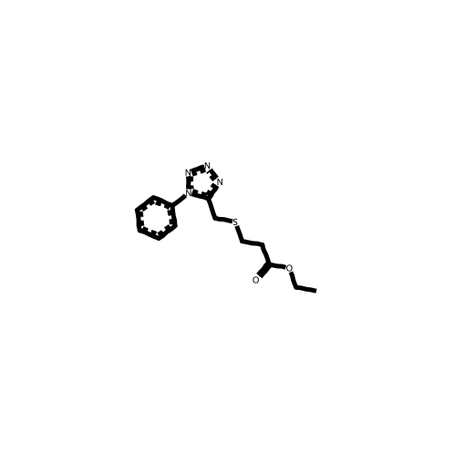 CCOC(=O)CCSCc1nnnn1-c1ccccc1